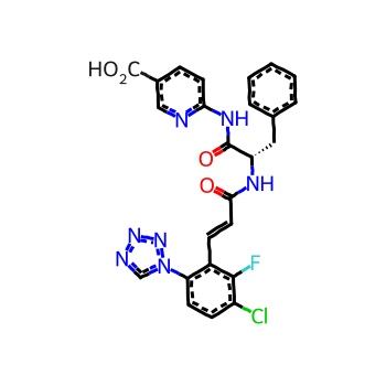 O=C(C=Cc1c(-n2cnnn2)ccc(Cl)c1F)N[C@@H](Cc1ccccc1)C(=O)Nc1ccc(C(=O)O)cn1